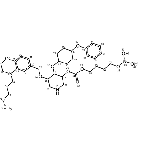 COCCCN1CCOc2ccc(COC3CNCC(OC(=O)OCCCCON(O)O)C3OC3CCC(Oc4ccccc4)CC3)cc21